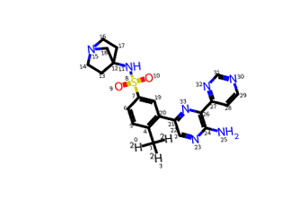 [2H]C([2H])([2H])c1ccc(S(=O)(=O)NC23CCN(CC2)C3)cc1-c1cnc(N)c(-c2ccncn2)n1